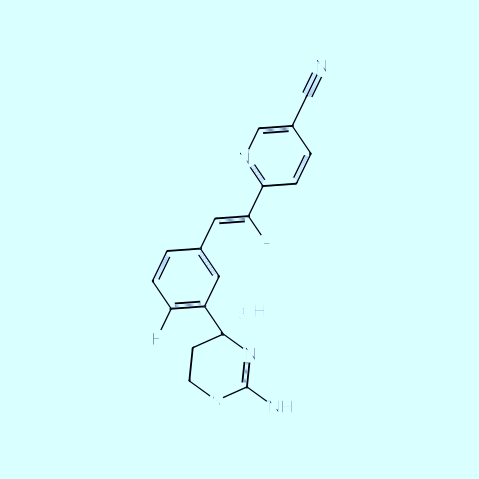 C[C@@]1(c2cc(/C=C(\F)c3ccc(C#N)cn3)ccc2F)CCSC(N)=N1